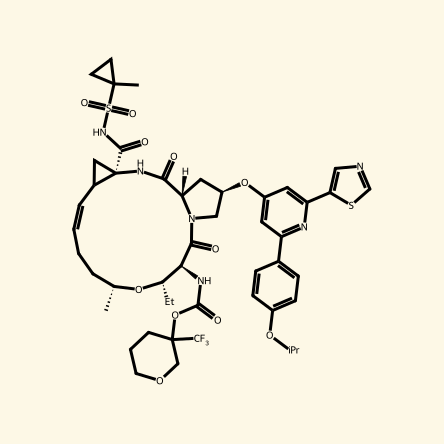 CC[C@@H]1O[C@H](C)CC/C=C\C2C[C@@]2(C(=O)NS(=O)(=O)C2(C)CC2)NC(=O)[C@@H]2C[C@@H](Oc3cc(-c4ccc(OC(C)C)cc4)nc(-c4cncs4)c3)CN2C(=O)[C@H]1NC(=O)OC1(C(F)(F)F)CCCOC1